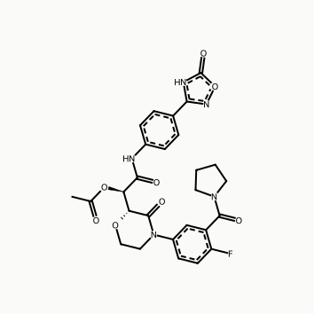 CC(=O)O[C@@H](C(=O)Nc1ccc(-c2noc(=O)[nH]2)cc1)[C@H]1OCCN(c2ccc(F)c(C(=O)N3CCCC3)c2)C1=O